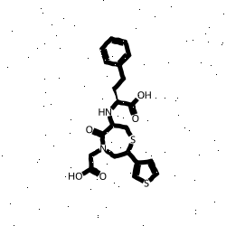 O=C(O)CN1CC(c2ccsc2)SCC(N[C@@H](CCc2ccccc2)C(=O)O)C1=O